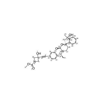 COC(=O)N1CC(O)(C#Cc2ccc([C@H](C)N3CC[C@](CC(C)(C)O)(c4ccccc4)OC3=O)cc2)C1